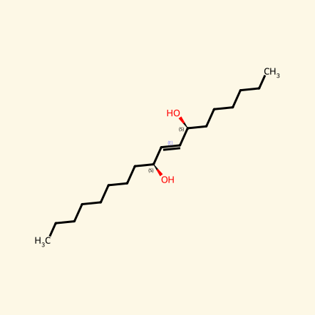 CCCCCCCC[C@H](O)/C=C/[C@@H](O)CCCCCC